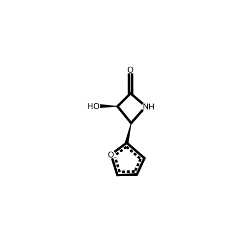 O=C1N[C@@H](c2ccco2)[C@H]1O